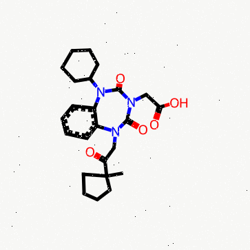 CC1(C(=O)CN2C(=O)N(CC(=O)O)C(=O)N(C3CCCCC3)c3ccccc32)CCCC1